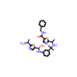 CC(N)c1ncc(C(O)Nc2cccc(C(C)(C)NC(C)c3ncc(C(=O)NCc4ccccc4)s3)c2)s1